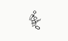 CO[C@@H]1O[C@@H]2COC(c3ccccc3)O[C@@H]2[C@H](O)[C@H]1OC(=O)c1ccccc1